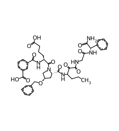 CCCC(NC(=O)[C@@H]1C[C@@H](OCc2ccccc2)CN1C(=O)[C@H](CCCC(=O)O)NC(=O)c1cccc(C(=O)O)c1)C(=O)C(=O)NCC(=O)N[C@H](C(N)=O)c1ccccc1